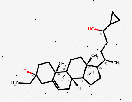 CC[C@]1(O)CC[C@@]2(C)C(=CC[C@H]3[C@@H]4CC[C@H]([C@H](C)CC[C@@H](O)C5CC5)[C@@]4(C)CC[C@@H]32)C1